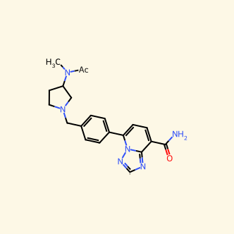 CC(=O)N(C)C1CCN(Cc2ccc(-c3ccc(C(N)=O)c4n[c]nn34)cc2)C1